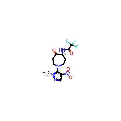 Cn1ncc([N+](=O)[O-])c1N1CCC(=O)[C@@H](NC(=O)C(F)(F)F)CC1